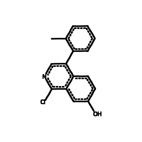 Cc1ccccc1-c1cnc(Cl)c2cc(O)ccc12